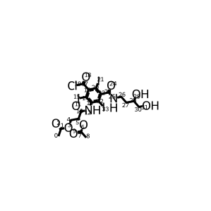 CC(=O)OCC(OC(C)=O)C(=O)Nc1c(I)c(C(=O)Cl)c(I)c(C(=O)NCCC(O)CO)c1I